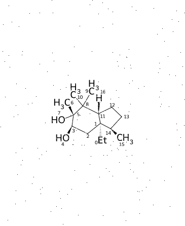 CC[C@]12C[C@@H](O)[C@](C)(O)C(C)(C)[C@@H]1CC[C@H]2C